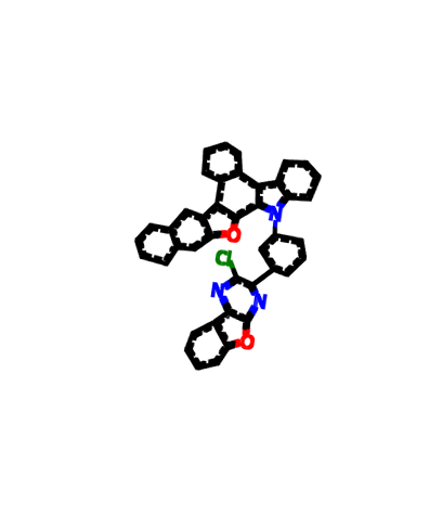 Clc1nc2c(nc1-c1cccc(-n3c4ccccc4c4c5ccccc5c5c6cc7ccccc7cc6oc5c43)c1)oc1ccccc12